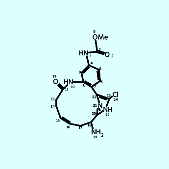 COC(=O)Nc1ccc2c(c1)NC(=O)CCC=CCC(N)c1nc-2c(Cl)[nH]1